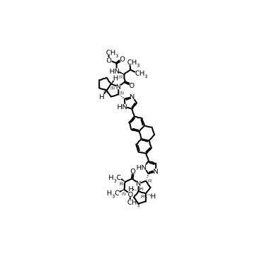 COC(=O)N[C@H](C(=O)N1[C@H](c2ncc(-c3ccc4c(c3)CCc3cc(-c5cnc([C@@H]6C[C@H]7CCC[C@H]7N6C(=O)[C@H](C)[C@H](C)OC)[nH]5)ccc3-4)[nH]2)C[C@@H]2CCC[C@@H]21)C(C)C